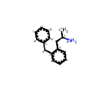 CC(N)Cc1ccccc1Cc1ccccc1